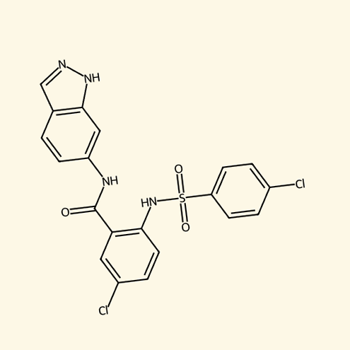 O=C(Nc1ccc2cn[nH]c2c1)c1cc(Cl)ccc1NS(=O)(=O)c1ccc(Cl)cc1